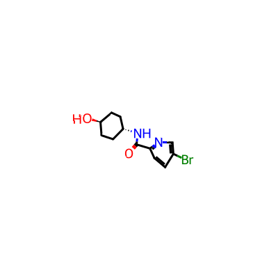 O=C(N[C@H]1CC[C@H](O)CC1)c1ccc(Br)cn1